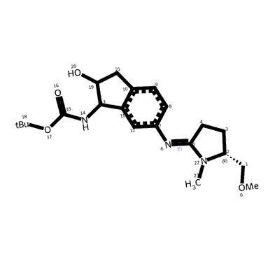 COC[C@H]1CC/C(=N\c2ccc3c(c2)C(NC(=O)OC(C)(C)C)C(O)C3)N1C